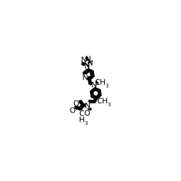 CC1=C(N(C=O)CC[C@]2(C)CC[C@@H](N(C)Cc3ccc(-n4cnnn4)cn3)CC2)COC1=O